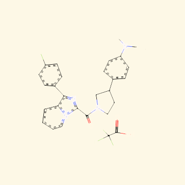 CN(C)c1ccc(C2CCN(C(=O)c3nc(-c4ccc(F)cc4)c4ccccn34)C2)cc1.O=C(O)C(F)(F)F